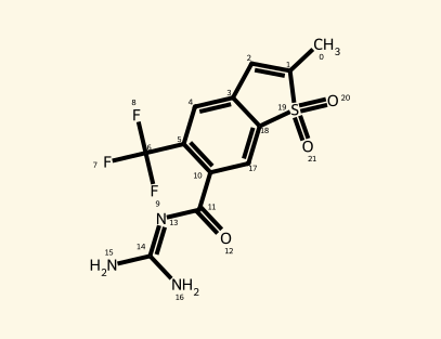 CC1=Cc2cc(C(F)(F)F)c(C(=O)N=C(N)N)cc2S1(=O)=O